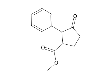 COC(=O)C1CCC(=O)C1c1ccccc1